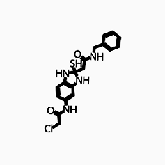 O=C(CC1(S)Nc2ccc(NC(=O)CCl)cc2N1)NCc1ccccc1